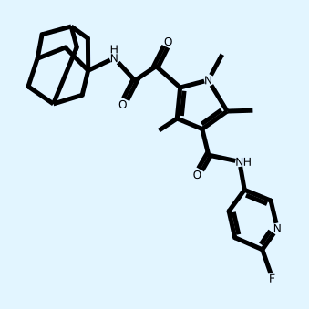 Cc1c(C(=O)Nc2ccc(F)nc2)c(C)n(C)c1C(=O)C(=O)NC12CC3CC(CC(C3)C1)C2